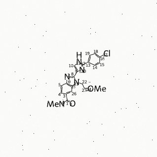 CNC(=O)c1ccc2nc(-c3c[nH]c(-c4ccc(Cl)cc4)n3)n(CCOC)c2c1